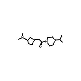 CC(C)N1CCN(C(=O)CN2CCC(N(C)C)C2)CC1